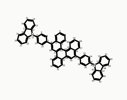 c1ccc2c(c1)c(-c1ccc(-n3c4ccccc4c4ccccc43)cc1)cc1c3ccccc3c3cc(-c4ccc(-n5c6ccccc6c6ccccc65)cc4)c4ccccc4c3c21